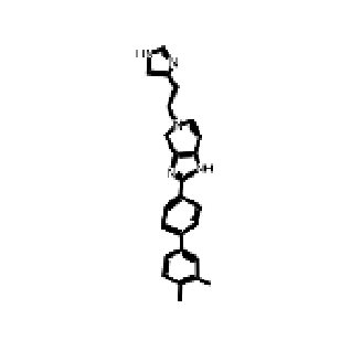 Cc1ccc(-c2ccc(-c3nc4c([nH]3)C=CN(CCc3c[nH]cn3)C4)cc2)cc1C